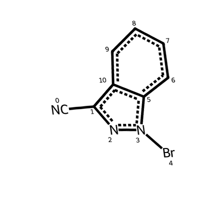 N#Cc1nn(Br)c2ccccc12